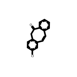 O=C1Cc2ccc(Cl)cc2C=Cc2ccccc21